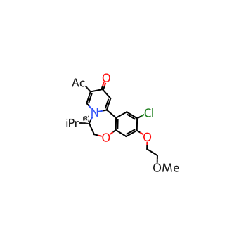 COCCOc1cc2c(cc1Cl)-c1cc(=O)c(C(C)=O)cn1[C@H](C(C)C)CO2